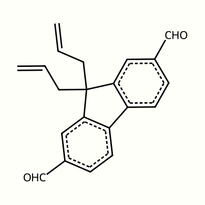 C=CCC1(CC=C)c2cc(C=O)ccc2-c2ccc(C=O)cc21